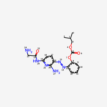 CC(C)COC(=O)Oc1ccccc1N=Nc1ccc(NC(=O)CN)nc1N